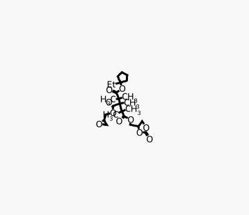 CCC1(OC(=O)C(C)(C)C(C)(C(=O)OCC2CO2)C(C)(C)C(=O)OCC2COC(=O)O2)CCCC1